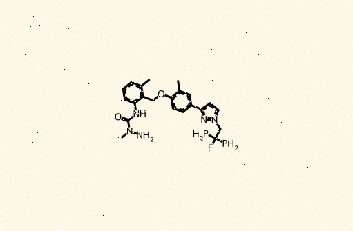 Cc1cc(-c2ccn(CC(F)(P)P)n2)ccc1OCc1c(C)cccc1NC(=O)N(C)N